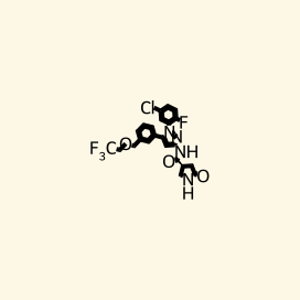 O=C1C[C@H](C(=O)Nc2cc(-c3cccc(COCC(F)(F)F)c3)n(-c3cc(Cl)ccc3F)n2)CN1